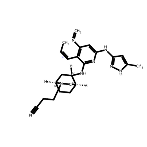 C=Nc1cc(Nc2cc(C)[nH]n2)nc(N[C@H]2C[C@@H]3CC[C@H]2CN3CCC#N)c1/C=C\C